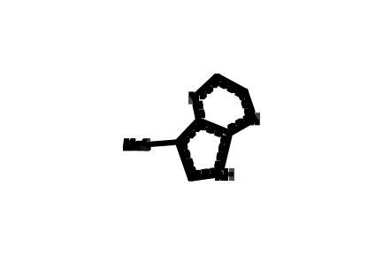 CSc1c[nH]c2nccnc12